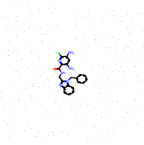 Nc1cc(N)c(C(=O)NCc2nc3ccccc3n2Cc2ccccc2)nc1Cl